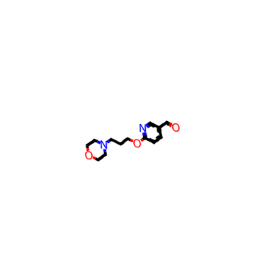 O=Cc1ccc(OCCCN2CCOCC2)nc1